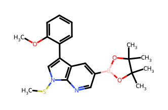 COc1ccccc1-c1cn(SC)c2ncc(B3OC(C)(C)C(C)(C)O3)cc12